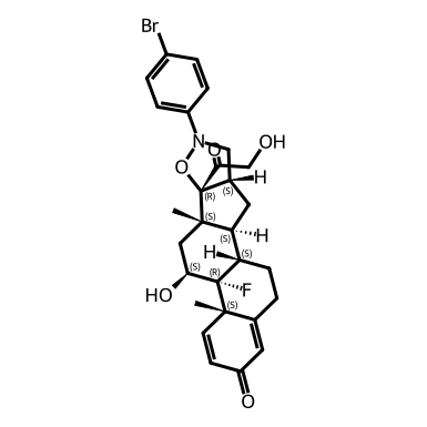 C[C@]12C=CC(=O)C=C1CC[C@H]1[C@@H]3C[C@H]4CN(c5ccc(Br)cc5)O[C@@]4(C(=O)CO)[C@@]3(C)C[C@H](O)[C@@]12F